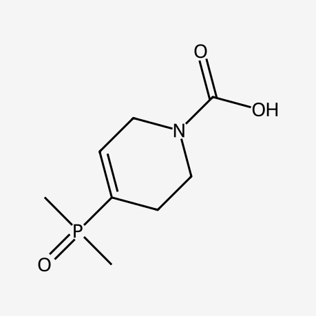 CP(C)(=O)C1=CCN(C(=O)O)CC1